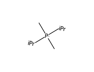 CC(C)[P](C)(C)C(C)C